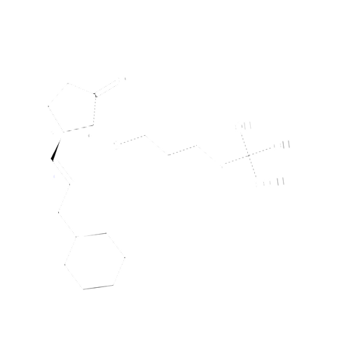 O=C1CC[C@H](/C=C/CC2CCCCC2)[C@H]1SCCCSC(O)(O)C(=O)O